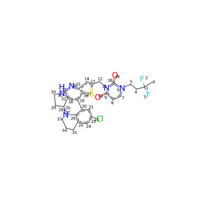 CC(F)(F)CCn1ccc(=O)n(Cc2cc3nccc(-c4cc(Cl)cc5c4N([C@H]4CCNC4)CCC5)c3s2)c1=O